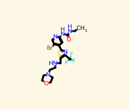 CCNC(=O)Nc1cc(-c2nc(C(F)(F)F)c(CNCCN3CCOCC3)s2)c(Br)cn1